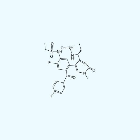 CC[C@H](N[SH]=O)c1cc(=O)n(C)cc1-c1cc(NS(=O)(=O)CC)c(F)cc1C(=O)c1ccc(F)cc1